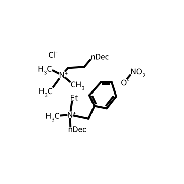 CCCCCCCCCCCC[N+](C)(C)C.CCCCCCCCCC[N+](C)(CC)Cc1ccccc1.O=[N+]([O-])[O-].[Cl-]